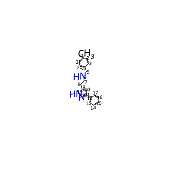 Cc1ccc(CNCCc2cc(-c3ccccc3)n[nH]2)cc1